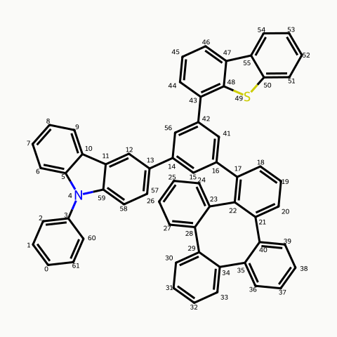 c1ccc(-n2c3ccccc3c3cc(-c4cc(-c5cccc6c5-c5ccccc5-c5ccccc5-c5ccccc5-6)cc(-c5cccc6c5sc5ccccc56)c4)ccc32)cc1